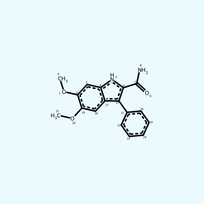 COc1cc2[nH]c(C(N)=O)c(-c3ccccc3)c2cc1OC